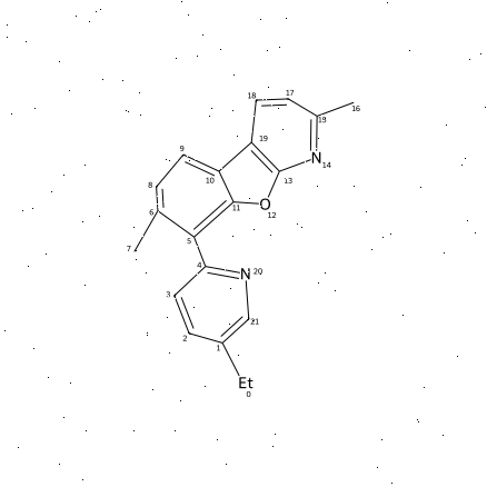 CCc1ccc(-c2c(C)ccc3c2oc2nc(C)ccc23)nc1